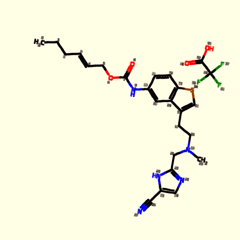 CCCC=CCOC(=O)Nc1ccc2scc(CCN(C)Cc3ncc(C#N)[nH]3)c2c1.O=C(O)C(F)(F)F